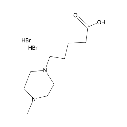 Br.Br.CN1CCN(CCCCC(=O)O)CC1